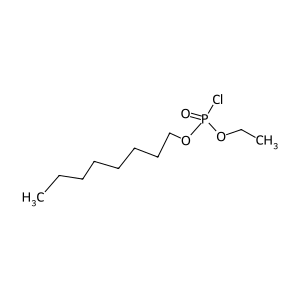 CCCCCCCCOP(=O)(Cl)OCC